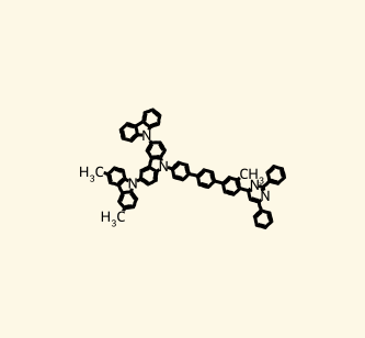 Cc1ccc2c(c1)c1cc(C)ccc1n2-c1ccc2c(c1)c1cc(-n3c4ccccc4c4ccccc43)ccc1n2-c1ccc(-c2ccc(-c3ccc(-c4cc(-c5ccccc5)nc(-c5ccccc5)n4)c(C)c3)cc2)cc1